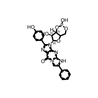 O=c1c2nc(-c3ccc(O)cc3)n([C@@H]3OC4COP(O)O[C@H]4[C@@H]3O)c2nc2[nH]c(-c3ccccc3)cn12